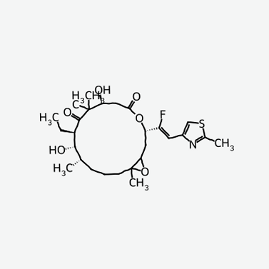 CC[C@H]1C(=O)C(C)(C)[C@@H](O)CC(=O)O[C@H](C(F)=Cc2csc(C)n2)CC2OC2(C)CCC[C@H](C)[C@@H]1O